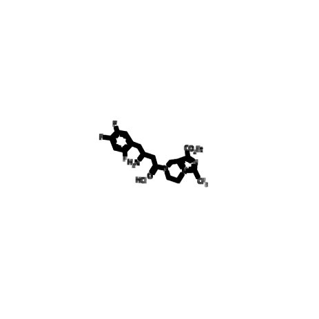 CCOC(=O)c1nc(C(F)(F)F)n2c1CN(C(=O)CC(N)Cc1cc(F)c(F)cc1F)CC2.Cl